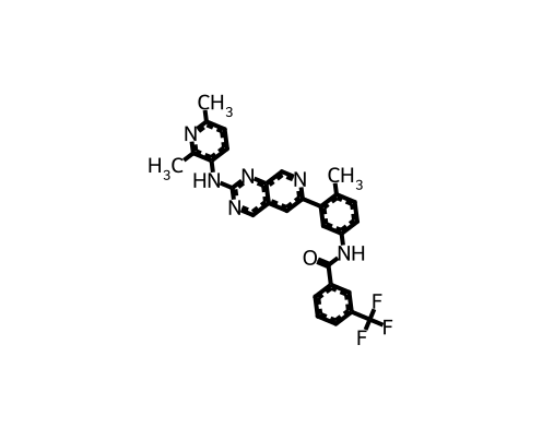 Cc1ccc(Nc2ncc3cc(-c4cc(NC(=O)c5cccc(C(F)(F)F)c5)ccc4C)ncc3n2)c(C)n1